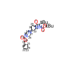 CC(C)(C)OC(=O)NC(C(=O)c1ccc(N2CCN(C(=O)OCc3ccccc3)CC2)cc1)C(C)(C)C